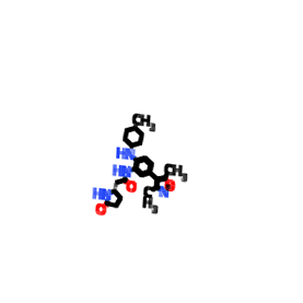 Cc1noc(C)c1-c1ccc(N[C@H]2CC[C@H](C)CC2)c(NC(=O)C[C@@H]2CCC(=O)N2)c1